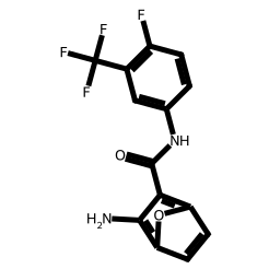 Nc1c(C(=O)Nc2ccc(F)c(C(F)(F)F)c2)c2ccc1o2